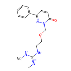 C/N=C(\NC#N)NCCOCn1nc(-c2ccccc2)ccc1=O